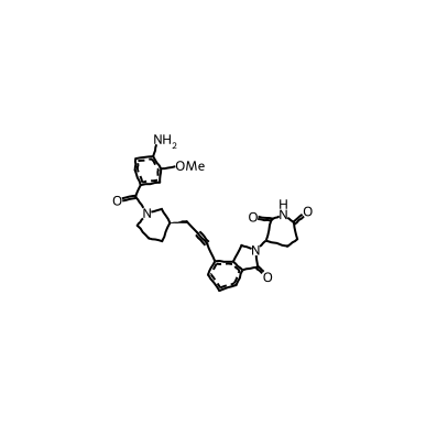 COc1cc(C(=O)N2CCC[C@H](CC#Cc3cccc4c3CN(C3CCC(=O)NC3=O)C4=O)C2)ccc1N